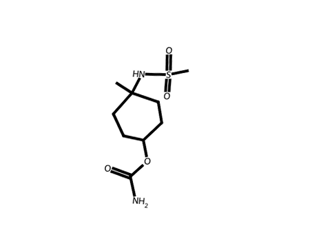 CC1(NS(C)(=O)=O)CCC(OC(N)=O)CC1